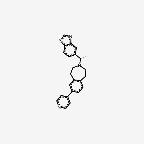 C[C@@H](c1ccc2scnc2c1)N1CCc2ccc(-c3ccncc3)cc2CC1